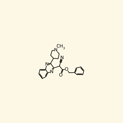 CN1CCC(c2nc3ccccc3nc2C(C#N)C(=O)OCc2ccccc2)CC1